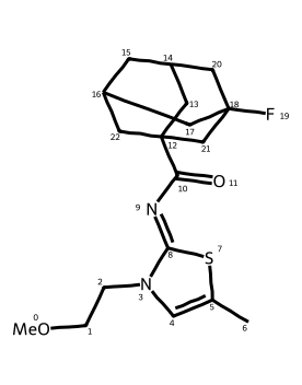 COCCn1cc(C)sc1=NC(=O)C12CC3CC(CC(F)(C3)C1)C2